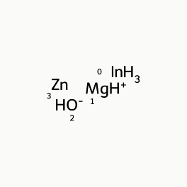 [InH3].[MgH+].[OH-].[Zn]